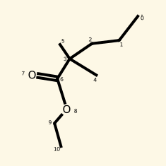 [CH2]CCC(C)(C)C(=O)OCC